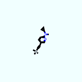 CN(c1ccc(C#C[Si](C)(C)C)cn1)C1CC1